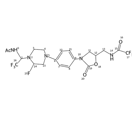 CC(=O)NC(N1CCN(c2ccc(N3CC(CNC(=O)C(F)(F)F)OC3=O)cc2)CC1F)C(F)(F)F